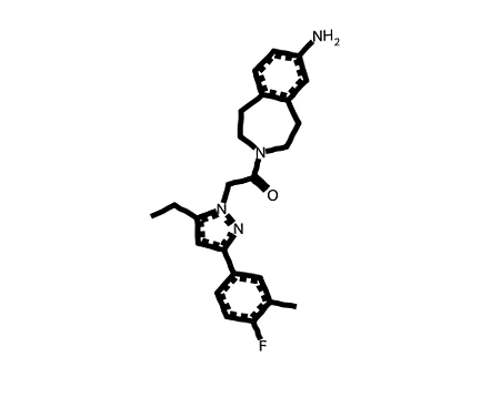 CCc1cc(-c2ccc(F)c(C)c2)nn1CC(=O)N1CCc2ccc(N)cc2CC1